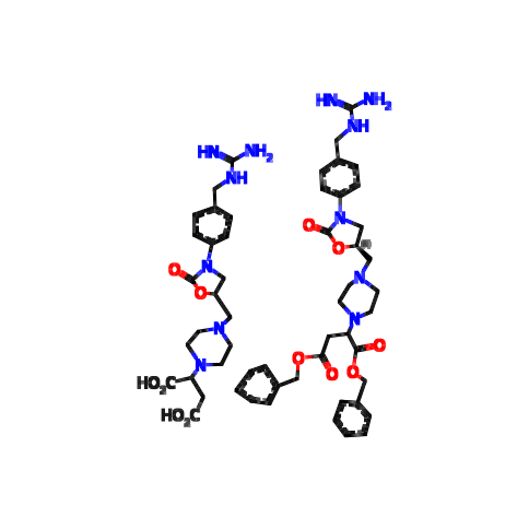 N=C(N)NCc1ccc(N2CC(CN3CCN(C(CC(=O)O)C(=O)O)CC3)OC2=O)cc1.N=C(N)NCc1ccc(N2C[C@@H](CN3CCN(C(CC(=O)OCc4ccccc4)C(=O)OCc4ccccc4)CC3)OC2=O)cc1